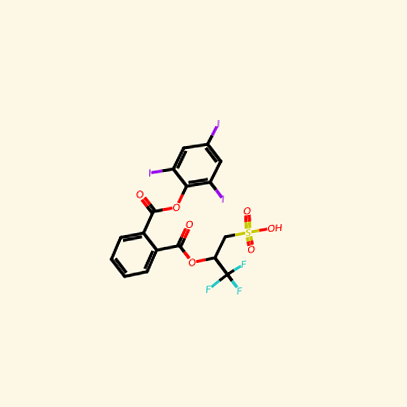 O=C(Oc1c(I)cc(I)cc1I)c1ccccc1C(=O)OC(CS(=O)(=O)O)C(F)(F)F